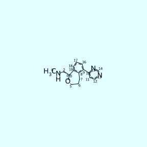 CNC[C@@H]1OCCCc2c(-c3ccncn3)cccc21